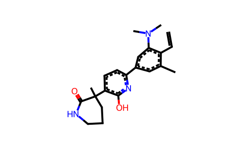 C=Cc1c(C)cc(-c2ccc(C3(C)CCCNC3=O)c(O)n2)cc1N(C)C